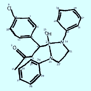 CC(=O)CC(c1ccc(Cl)cc1)[P]1(O)N(c2ccccc2)CCN1c1ccccc1